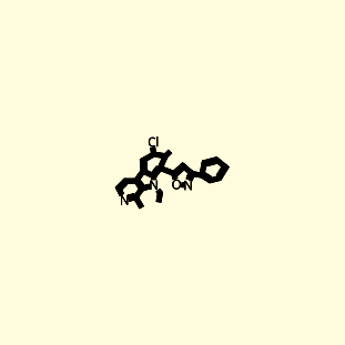 CCn1c2c(c3ccnc(C)c31)=CC(Cl)C(C)C=2c1cc(-c2ccccc2)no1